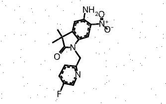 CC1(C)C(=O)N(Cc2ccc(F)cn2)c2cc([N+](=O)[O-])c(N)cc21